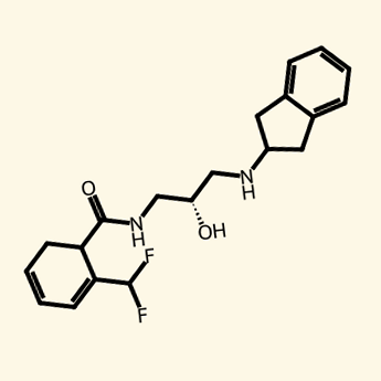 O=C(NC[C@@H](O)CNC1Cc2ccccc2C1)C1CC=CC=C1C(F)F